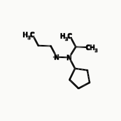 CCC[N]N(C(C)C)C1CCCC1